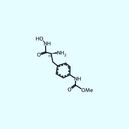 COC(=O)Nc1ccc(C[C@H](N)C(=O)NO)cc1